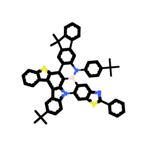 CC(C)(C)c1ccc(N2B3c4cc5nc(-c6ccccc6)sc5cc4-n4c5ccc(C(C)(C)C)cc5c5c6c(sc7ccccc76)c(c3c54)-c3cc4c(cc32)-c2ccccc2C4(C)C)cc1